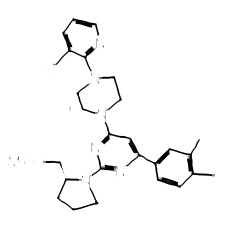 COC[C@@H]1CCCN1c1nc(-c2ccc(F)c(C)c2)cc(N2CCN(c3ncccc3Cl)C[C@H]2C)n1